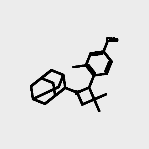 COc1ccc(C2N(C3C4CC5CC(C4)CC3C5)CC2(C)C)c(C)c1